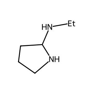 CCNC1CCCN1